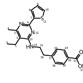 CCc1c(C)nc(-c2cccs2)nc1NCCc1ccc(C(=O)O)cc1